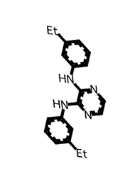 CCc1cccc(Nc2nccnc2Nc2cccc(CC)c2)c1